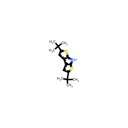 CC(C)(C)c1cc2c([nH]c3sc(C(C)(C)C)cc32)s1